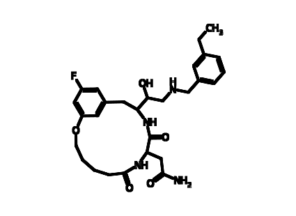 CCc1cccc(CNCC(O)C2Cc3cc(F)cc(c3)OCCCCC(=O)NC(CC(N)=O)C(=O)N2)c1